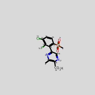 Cc1nc(-c2c(S(C)(=O)=O)ccc(Cl)c2F)cnc1C(=O)O